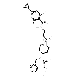 CONC(=O)N(Cc1ccsc1)C1CCN([C@H](C)CCNC(=O)c2c(C)cc(C3CC3)nc2C)CC1